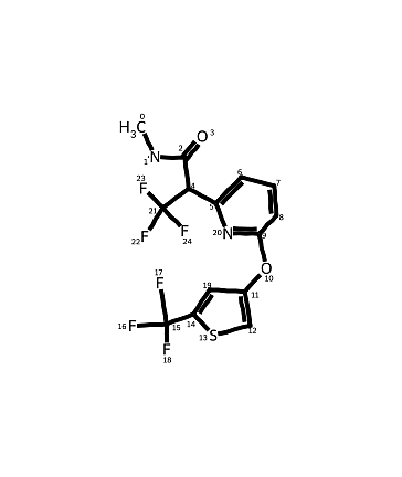 C[N]C(=O)C(c1cccc(Oc2csc(C(F)(F)F)c2)n1)C(F)(F)F